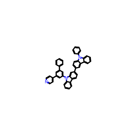 c1ccc(-c2cc(-c3ccncc3)cc(-n3c4ccccc4c4ccc(-c5ccc6c(c5)c5ccccc5n6-c5ccccc5)cc43)c2)cc1